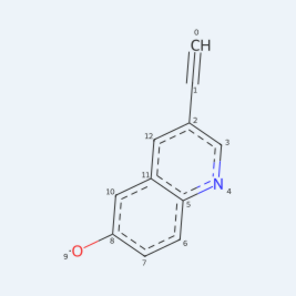 C#Cc1cnc2ccc([O])cc2c1